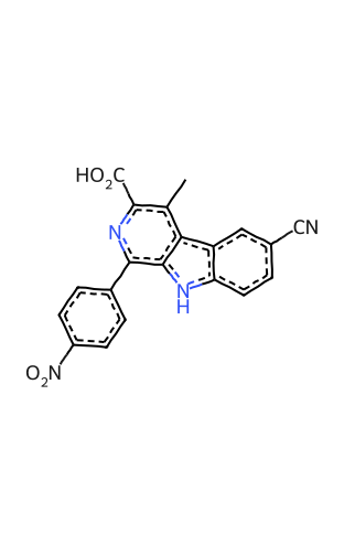 Cc1c(C(=O)O)nc(-c2ccc([N+](=O)[O-])cc2)c2[nH]c3ccc(C#N)cc3c12